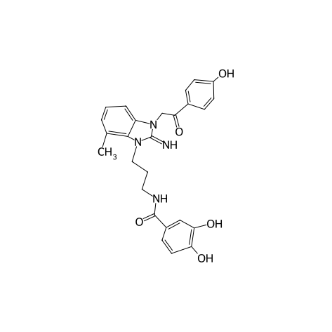 Cc1cccc2c1n(CCCNC(=O)c1ccc(O)c(O)c1)c(=N)n2CC(=O)c1ccc(O)cc1